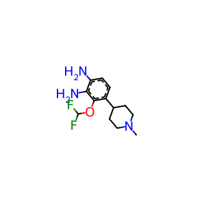 CN1CCC(c2ccc(N)c(N)c2OC(F)F)CC1